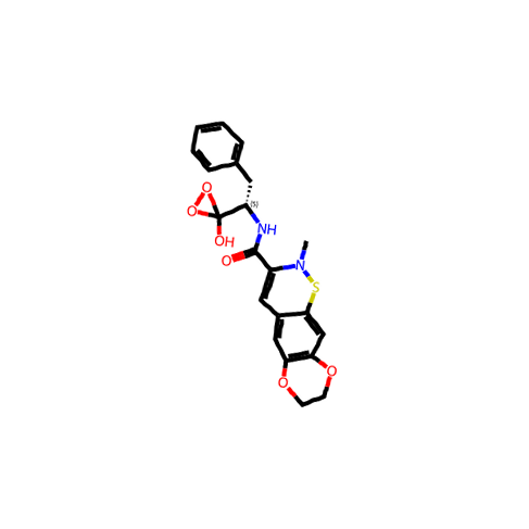 CN1Sc2cc3c(cc2C=C1C(=O)N[C@@H](Cc1ccccc1)C1(O)OO1)OCCO3